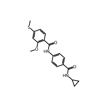 COc1cc(SC)ccc1C(=O)Nc1ccc(C(=O)NC2CC2)cc1